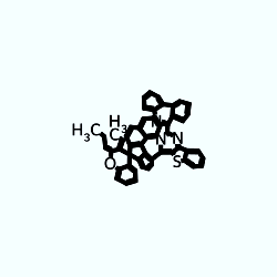 C/C=C1\C(=C/CC)Oc2ccccc2C12c1cccc(-c3nc(-c4nc5ccccc5c5ccccc45)nc4c3sc3ccccc34)c1-c1c2ccc2ccccc12